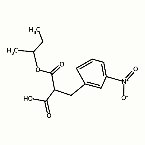 CCC(C)OC(=O)C(Cc1cccc([N+](=O)[O-])c1)C(=O)O